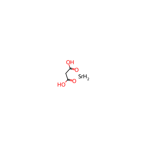 O=C(O)CC(=O)O.[SrH2]